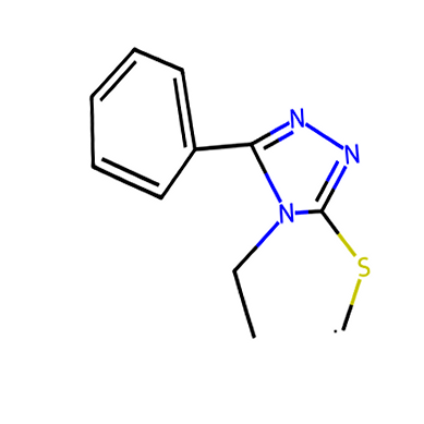 [CH2]Sc1nnc(-c2ccccc2)n1CC